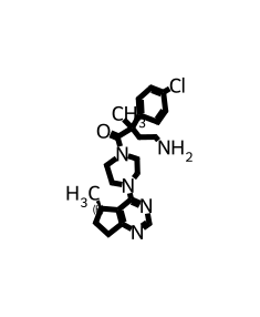 C[C@@H]1CCc2ncnc(N3CCN(C(=O)C(C)(CCN)c4ccc(Cl)cc4)CC3)c21